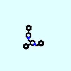 c1ccc(CN2CCC(CN3CCC(c4ccccc4)CC3)C(c3ccccc3)C2)cc1